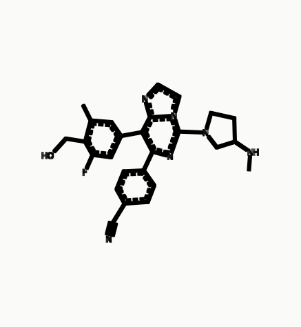 CNC1CCN(c2nc(-c3ccc(C#N)cc3)c(-c3cc(C)c(CO)c(F)c3)c3nccn23)C1